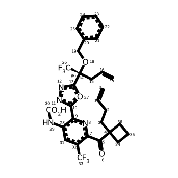 C=CCCC1(C(=O)c2nc(-c3nnc([C@@](CC=C)(OCc4ccccc4)C(F)(F)F)o3)c(NC(=O)O)cc2C(F)(F)F)CCC1